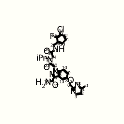 Cc1ccnc(COc2ccc3c(c2)c(C(N)=O)nn3CC(=O)N(CC(=O)NCc2cccc(Cl)c2F)C(C)C)n1